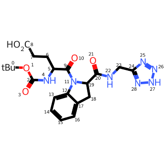 CC(C)(C)OC(=O)NC(CCC(=O)O)C(=O)N1c2ccccc2CC1C(=O)NCc1nn[nH]n1